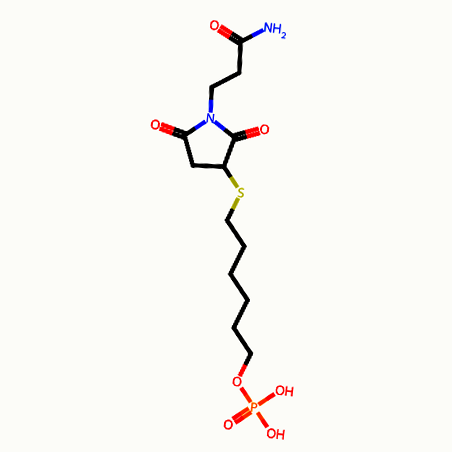 NC(=O)CCN1C(=O)CC(SCCCCCCOP(=O)(O)O)C1=O